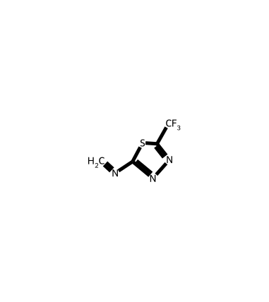 C=Nc1nnc(C(F)(F)F)s1